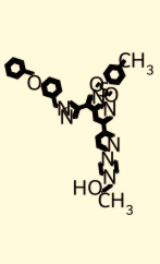 Cc1ccc(S(=O)(=O)n2cc(-c3cnn(Cc4cccc(OCc5ccccc5)c4)c3)c3cc(-c4ccc(N5CCN(CC(C)O)CC5)nc4)cnc32)cc1